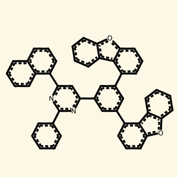 c1ccc(-c2nc(-c3cc(-c4cccc5oc6ccccc6c45)cc(-c4cccc5oc6ccccc6c45)c3)cc(-c3cccc4ccccc34)n2)cc1